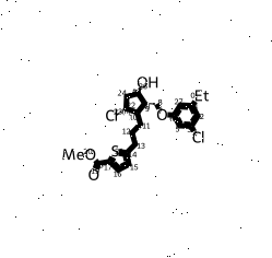 CCc1cc(Cl)cc(OC[C@@H]2C(CCCc3ccc(C(=O)OC)s3)[C@H](Cl)C[C@H]2O)c1